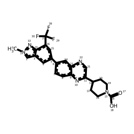 Cn1cc2cc(-c3ccc4nc(C5CCN(C(=O)O)CC5)cnc4c3)cc(C(F)(F)F)c2n1